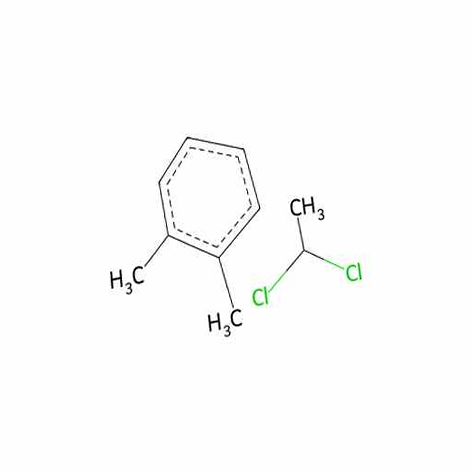 CC(Cl)Cl.Cc1ccccc1C